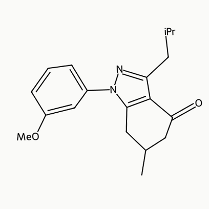 COc1cccc(-n2nc(CC(C)C)c3c2CC(C)CC3=O)c1